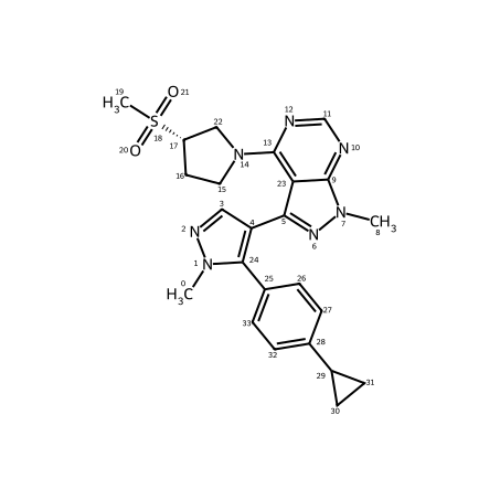 Cn1ncc(-c2nn(C)c3ncnc(N4CC[C@H](S(C)(=O)=O)C4)c23)c1-c1ccc(C2CC2)cc1